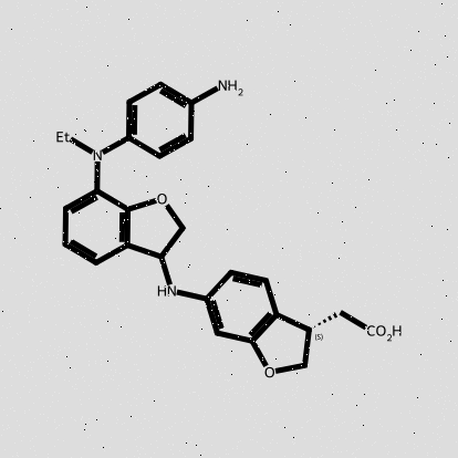 CCN(c1ccc(N)cc1)c1cccc2c1OCC2Nc1ccc2c(c1)OC[C@H]2CC(=O)O